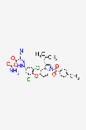 Cc1ccc(S(=O)(=O)n2cc(CC(C)C)c3cc(Oc4c(Cl)cc(NN=C(C#N)C(=O)OC(N)=O)cc4Cl)ccc32)cc1